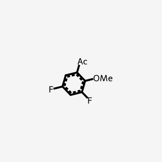 COc1c(F)cc(F)cc1C(C)=O